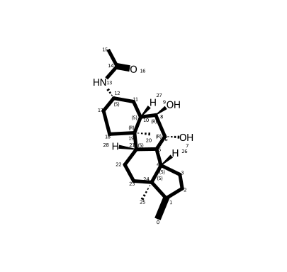 C=C1CC[C@H]2C3[C@@H](O)[C@H](O)[C@H]4C[C@@H](NC(C)=O)CC[C@]4(C)[C@H]3CC[C@]12C